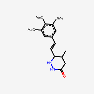 COc1cc(/C=C/C2NNC(=O)CC2C)cc(OC)c1OC